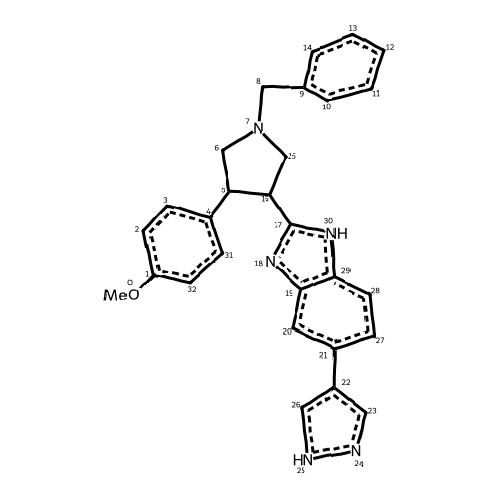 COc1ccc(C2CN(Cc3ccccc3)CC2c2nc3cc(-c4cn[nH]c4)ccc3[nH]2)cc1